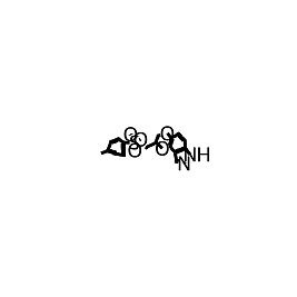 Cc1ccc(S(=O)(=O)OCC2COc3ccc4[nH]ncc4c3O2)cc1